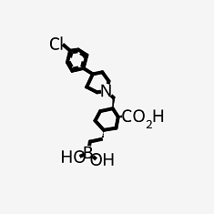 O=C(O)[C@H]1C[C@H](CCB(O)O)CC[C@H]1CN1CCC(c2ccc(Cl)cc2)CC1